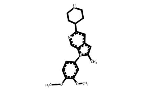 COc1ccc(-n2c(C)cc3cc(C4CCNCC4)ncc32)cc1OC